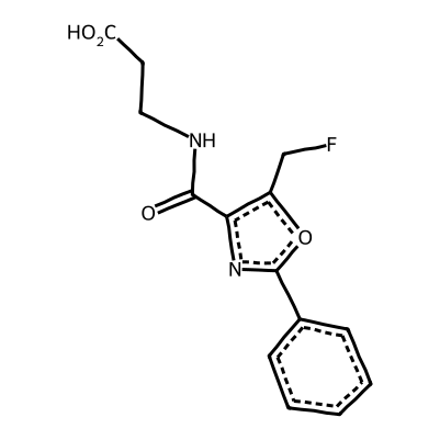 O=C(O)CCNC(=O)c1nc(-c2ccccc2)oc1CF